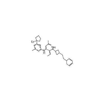 C=C(C)/C=C(Nc1cc(C)cc(C2(CC)CCCC2)n1)\C(=C/C)C(=N)C1CC(CCC2C=CC=CC2)C1